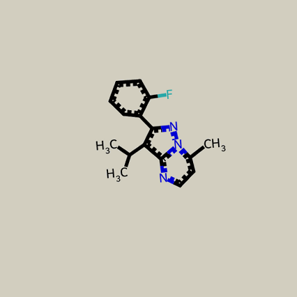 Cc1ccnc2c(C(C)C)c(-c3ccccc3F)nn12